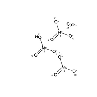 O=[N+]([O-])O.O=[N+]([O-])[O-].O=[N+]([O-])[O-].[Co+2]